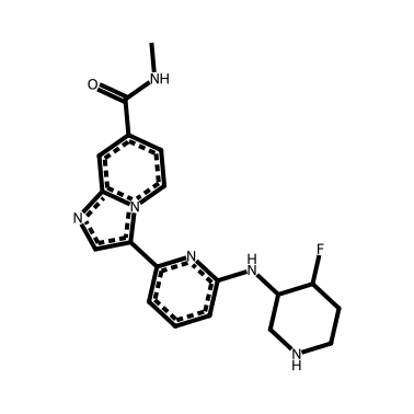 CNC(=O)c1ccn2c(-c3cccc(NC4CNCCC4F)n3)cnc2c1